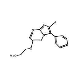 COCCOc1cnc2nc(I)c(-c3ccccc3)n2c1